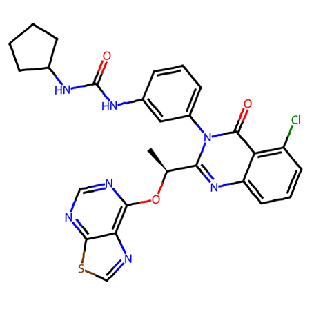 C[C@H](Oc1ncnc2scnc12)c1nc2cccc(Cl)c2c(=O)n1-c1cccc(NC(=O)NC2CCCC2)c1